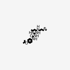 CC1CC(NCCCN(C)C)NC(NC(=O)Nc2ccc(OC(C)C)cc2)N1